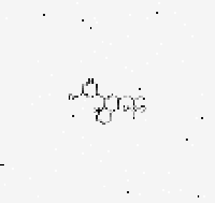 CC(Cc1cc(-c2cncc(Br)c2)c2ncccc2c1)S(C)(=O)=O